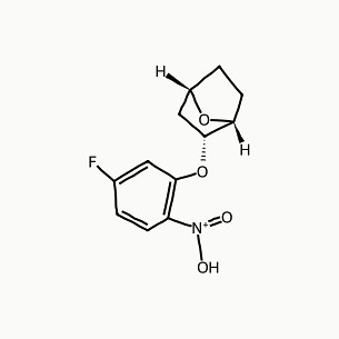 O=[N+](O)c1ccc(F)cc1O[C@@H]1C[C@@H]2CC[C@H]1O2